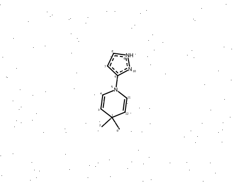 CC1(C)C=CN(c2cc[nH]n2)C=C1